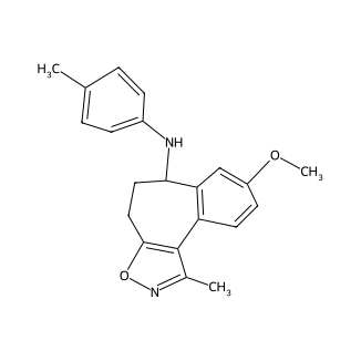 COc1ccc2c(c1)C(Nc1ccc(C)cc1)CCc1onc(C)c1-2